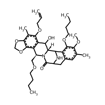 C=CCOc1c(C)c2c(c3c1C(O)[C@@H]1C4NC(Cc5cc(C)c(OC)c(OCCCC)c54)C(=O)N1[C@H]3COCCCC)OCO2